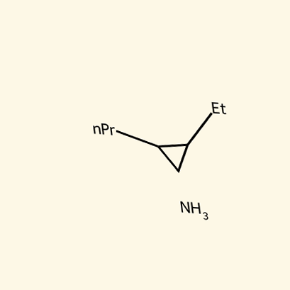 CCCC1CC1CC.N